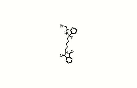 O=C(CBr)c1ccccc1C(F)(F)CCCCCN1C(=O)c2ccccc2C1=O